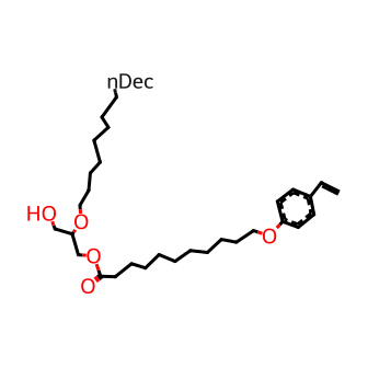 C=Cc1ccc(OCCCCCCCCCCC(=O)OCC(CO)OCCCCCCCCCCCCCCCCCC)cc1